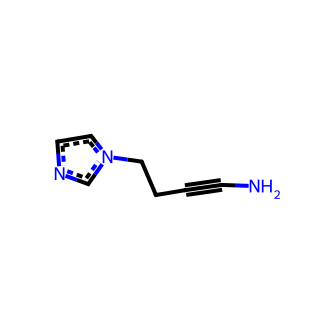 NC#CCCn1ccnc1